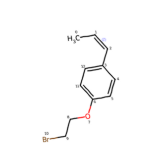 C/C=C\c1ccc(OCCBr)cc1